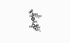 Nc1nc2c(c(=O)[nH]1)CC(CNc1ccc(C(=O)C(N)(CCP(=O)=O)C(=O)O)cc1)CN2